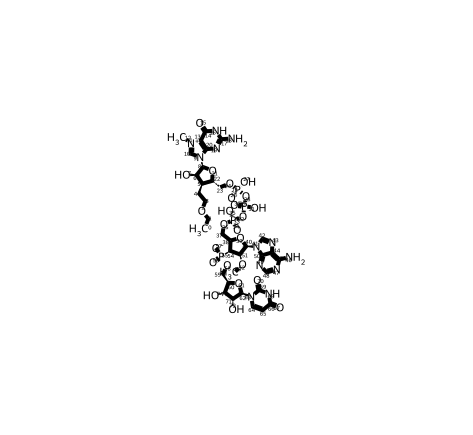 CCOCC[C@H]1[C@@H](O)[C@H](n2c[n+](C)c3c(=O)[nH]c(N)nc32)O[C@@H]1COP(=O)(O)OP(=O)(O)OP(=O)(O)OCC1O[C@@H](n2cnc3c(N)ncnc32)[C@H](OC)[C@@H]1P(=O)([O-])OC[C@H]1O[C@@H](n2ccc(=O)[nH]c2=O)[C@H](O)[C@@H]1O